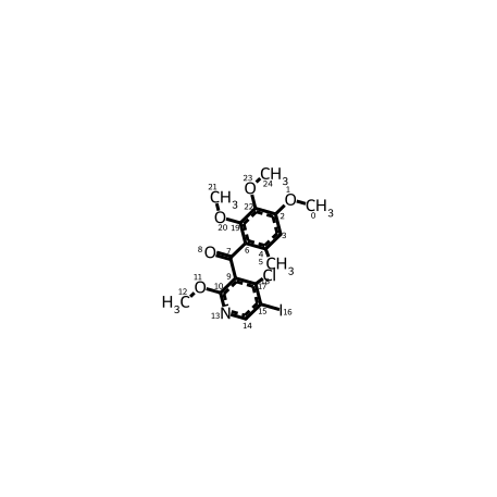 COc1cc(C)c(C(=O)c2c(OC)ncc(I)c2Cl)c(OC)c1OC